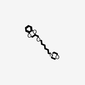 c1ccc2c(c1)OCC(COCCCCCCN1CCOCC1)O2